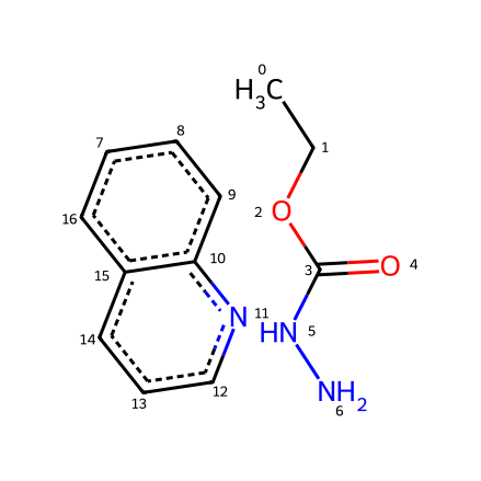 CCOC(=O)NN.c1ccc2ncccc2c1